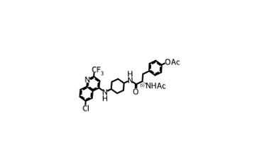 CC(=O)N[C@@H](Cc1ccc(OC(C)=O)cc1)C(=O)NC1CCC(Nc2cc(C(F)(F)F)nc3ccc(Cl)cc23)CC1